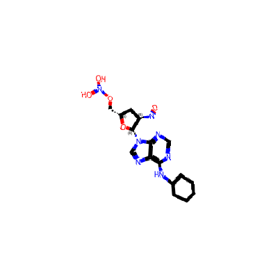 O=N[C@@H]1C[C@@H](CON(O)O)O[C@H]1n1cnc2c(NC3CCCCC3)ncnc21